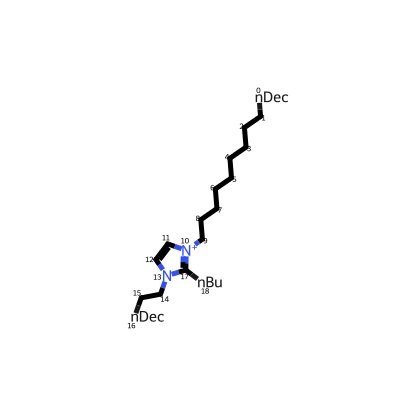 CCCCCCCCCCCCCCCCCCC[n+]1ccn(CCCCCCCCCCCC)c1CCCC